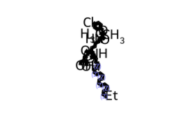 CC/C=C\C/C=C\C/C=C\C/C=C\C/C=C\C/C=C\CCC(=O)NC(CCCCNC(=O)C(C)(C)Oc1ccc(Cl)cc1)C(=O)OCC(CO)CO